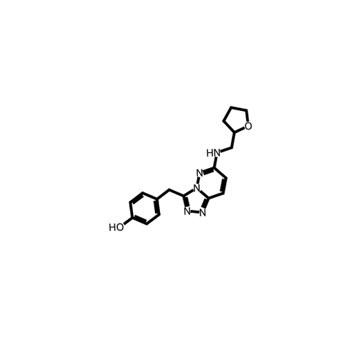 Oc1ccc(Cc2nnc3ccc(NCC4CCCO4)nn23)cc1